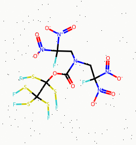 O=C(OC(SF)(SF)C(SF)(SF)SF)N(CC(F)([N+](=O)[O-])[N+](=O)[O-])CC(F)([N+](=O)[O-])[N+](=O)[O-]